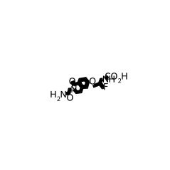 NC(=O)CN1CCc2cc(OC/C(=C/F)CNC(=O)O)ccc2C1=O